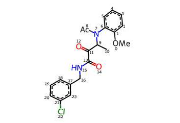 COc1ccccc1N(C(C)=O)C(C)C(=O)C(=O)NCc1cccc(Cl)c1